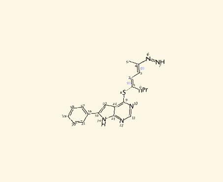 CCC/C(=C\C=C(/C)N=N)Sc1ncnc2[nH]c(-c3ccccc3)cc12